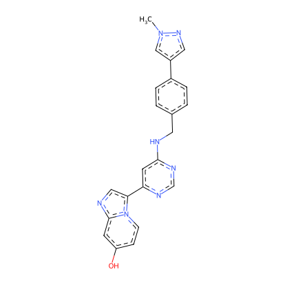 Cn1cc(-c2ccc(CNc3cc(-c4cnc5cc(O)ccn45)ncn3)cc2)cn1